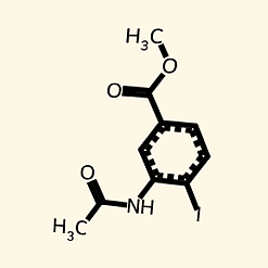 COC(=O)c1ccc(I)c(NC(C)=O)c1